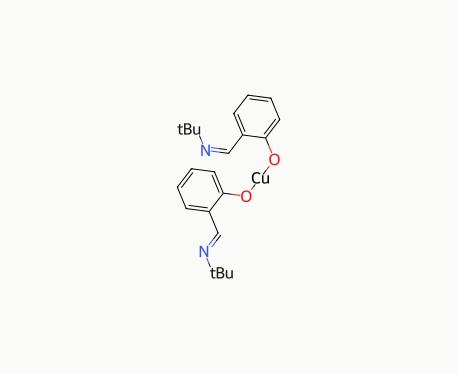 CC(C)(C)N=Cc1ccccc1[O][Cu][O]c1ccccc1C=NC(C)(C)C